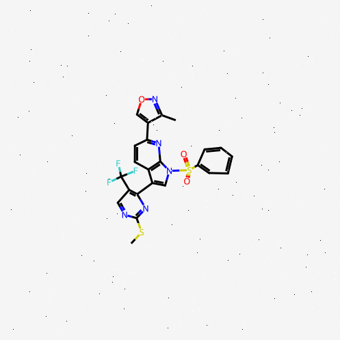 CSc1ncc(C(F)(F)F)c(-c2cn(S(=O)(=O)c3ccccc3)c3nc(-c4conc4C)ccc23)n1